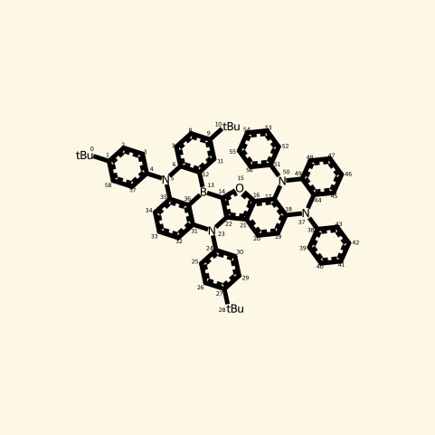 CC(C)(C)c1ccc(N2c3ccc(C(C)(C)C)cc3B3c4oc5c6c(ccc5c4N(c4ccc(C(C)(C)C)cc4)c4cccc2c43)N(c2ccccc2)c2ccccc2N6c2ccccc2)cc1